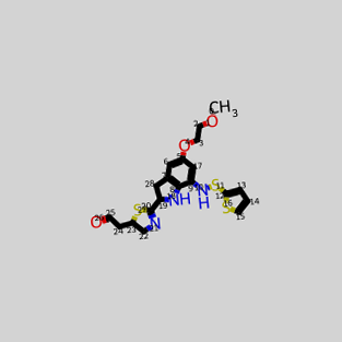 COCCOc1cc2c(c(NSc3cccs3)c1)NC(C1=NCC(CC=O)S1)C2